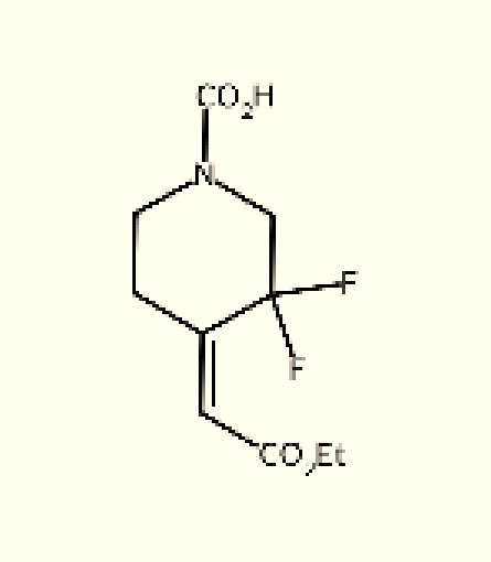 CCOC(=O)/C=C1/CCN(C(=O)O)CC1(F)F